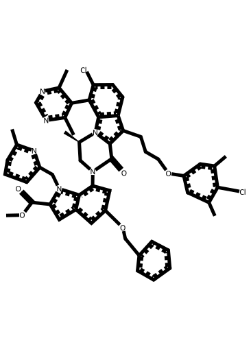 COC(=O)c1cc2cc(OCc3ccccc3)cc(N3C[C@@H](C)n4c(c(CCCOc5cc(C)c(Cl)c(C)c5)c5ccc(Cl)c(-c6c(C)ncnc6C)c54)C3=O)c2n1Cc1cccc(C)n1